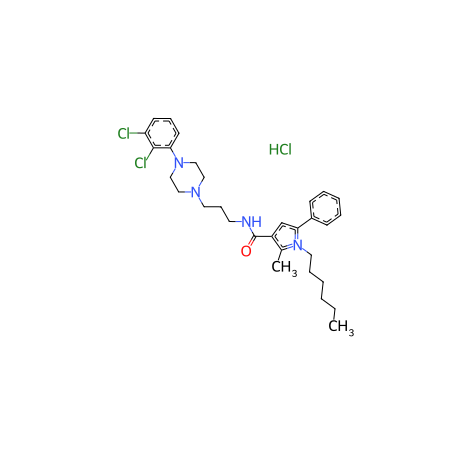 CCCCCCn1c(-c2ccccc2)cc(C(=O)NCCCN2CCN(c3cccc(Cl)c3Cl)CC2)c1C.Cl